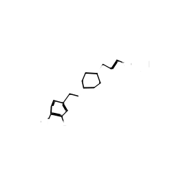 O=C(O)/C=C/C[C@H]1CC[C@H](CCc2ccc(Cl)c(F)c2)CC1